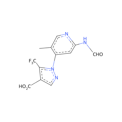 Cc1cnc(NC=O)cc1-n1ncc(C(=O)O)c1C(F)(F)F